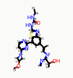 C=N/C(=N\C=C(/C)c1cc(-c2nccc(N3CC(OC)C3)n2)c2sc(NC(=O)NCC)nc2c1)C(C)O